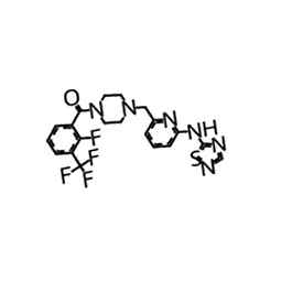 O=C(c1cccc(C(F)(F)F)c1F)N1CCN(Cc2cccc(Nc3ncns3)n2)CC1